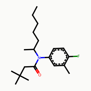 CCCCCC(C)N(C(=O)CC(C)(C)C)c1ccc(F)c(C)c1